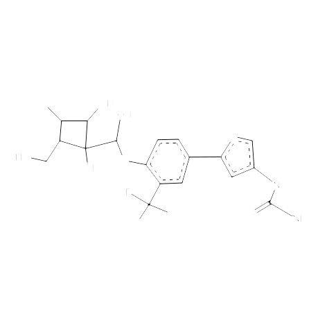 NC(=O)Nc1csc(-c2ccc(OC(O)C3(O)C(O)C(O)C3CO)c(C(F)(F)F)c2)c1